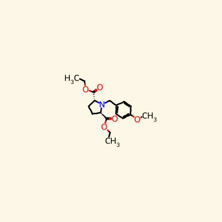 CCOC(=O)[C@H]1CC[C@H](C(=O)OCC)N1Cc1ccc(OC)cc1